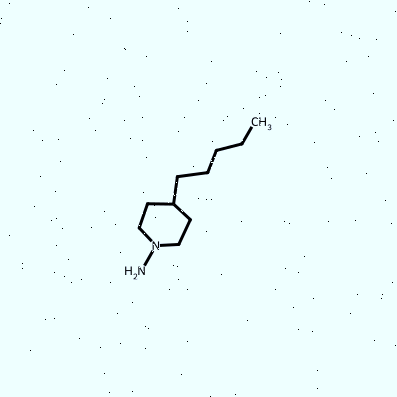 CCCCCC1CCN(N)CC1